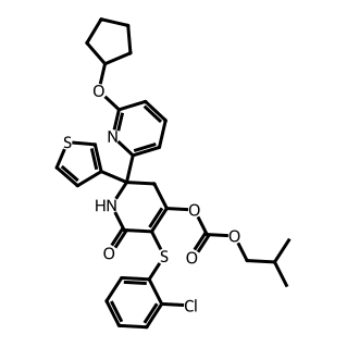 CC(C)COC(=O)OC1=C(Sc2ccccc2Cl)C(=O)NC(c2ccsc2)(c2cccc(OC3CCCC3)n2)C1